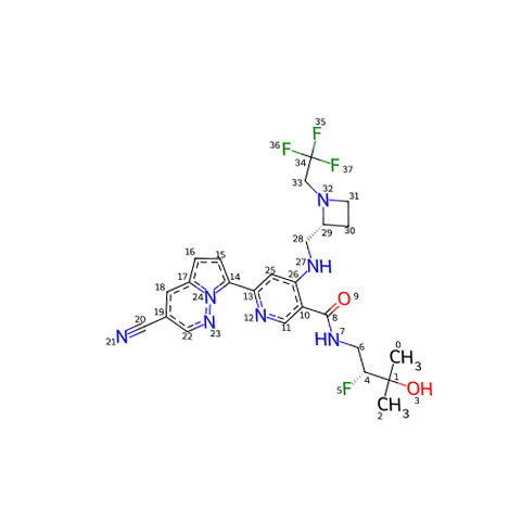 CC(C)(O)[C@H](F)CNC(=O)c1cnc(-c2ccc3cc(C#N)cnn23)cc1NC[C@H]1CCN1CC(F)(F)F